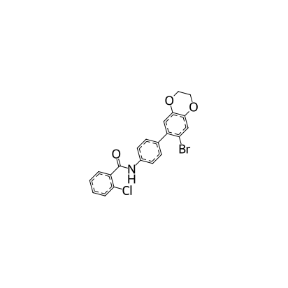 O=C(Nc1ccc(-c2cc3c(cc2Br)OCCO3)cc1)c1ccccc1Cl